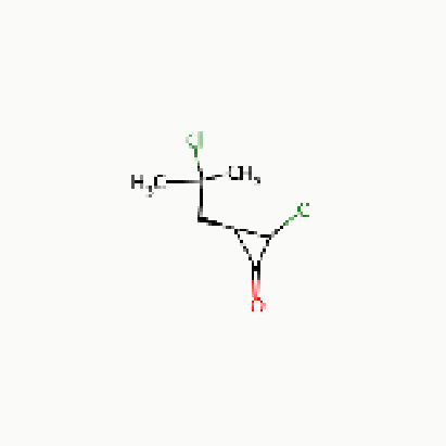 CC(C)(Cl)C[C@@H]1C(=O)C1Cl